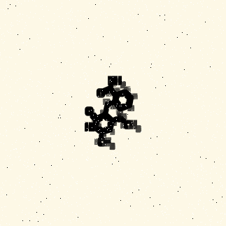 CSc1cc(C)[nH]c(=O)c1Cc1ccccc1C(N)=O